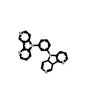 C1=CC2C(C=N1)c1ncccc1N2c1cccc(-n2c3ccncc3c3ncccc32)c1